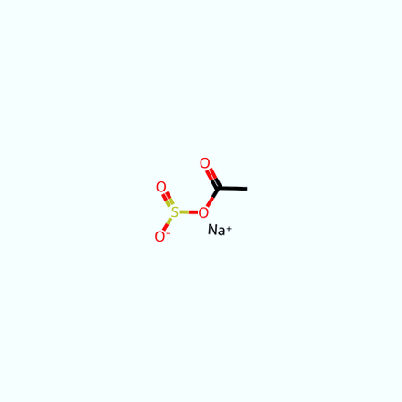 CC(=O)OS(=O)[O-].[Na+]